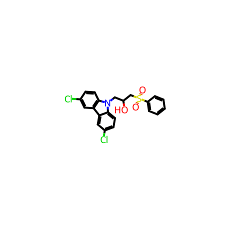 O=S(=O)(CC(O)Cn1c2ccc(Cl)cc2c2cc(Cl)ccc21)c1ccccc1